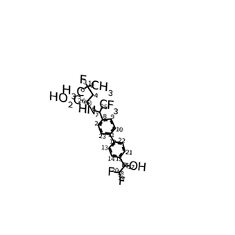 CC(C)(F)C[C@H](NC(c1ccc(-c2ccc([C@@H](O)C(F)F)cc2)cc1)C(F)(F)F)C(=O)O